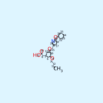 CCCCOc1cc(CC(=O)O)cc(OCc2ccc(Oc3ccccc3)nc2)c1